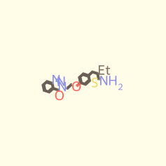 CCC(Cc1ccc(OCCn2nnc3ccccc3c2=O)cc1)C(N)=S